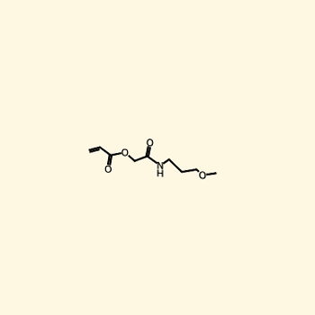 C=CC(=O)OCC(=O)NCCCOC